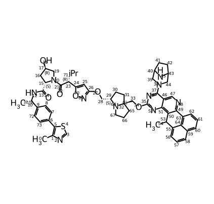 Cc1ncsc1-c1ccc([C@H](C)NC(=O)[C@@H]2C[C@@H](O)CN2C(=O)[C@@H](c2cc(OC[C@@H]3CC[C@]4(COc5nc(N6CC7CCC(C6)N7)c6cnc7c(c6n5)C(C)c5cccc6cccc-7c56)CCCN34)no2)C(C)C)cc1